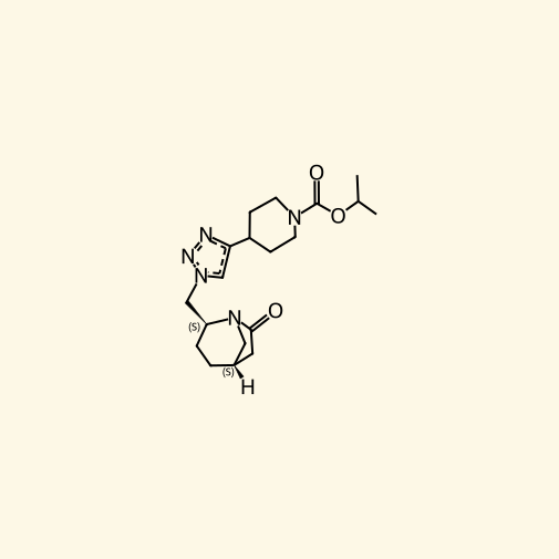 CC(C)OC(=O)N1CCC(c2cn(C[C@@H]3CC[C@H]4CC(=O)N3C4)nn2)CC1